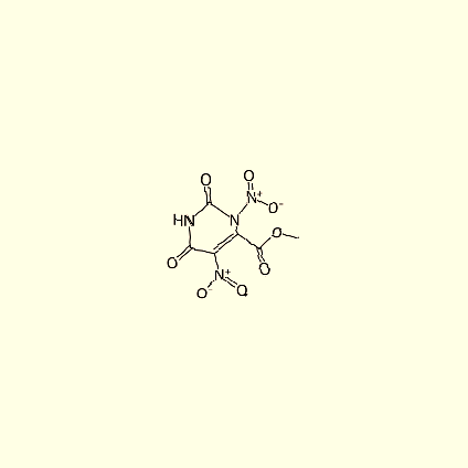 COC(=O)c1c([N+](=O)[O-])c(=O)[nH]c(=O)n1[N+](=O)[O-]